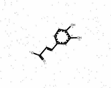 [O]C(=O)C=Cc1ccc(O)c(O)c1